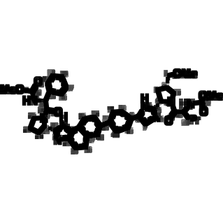 COC[C@H]1C[C@@H](c2ncc(-c3ccc(-c4ccc5c(ccc6nc([C@@H]7CCCN7C(=O)[C@H](NC(=O)OC)c7ccccc7)[nH]c65)c4)cc3)[nH]2)N(C(=O)C(NC(=O)OC)C(C)C)C1